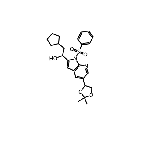 CC1(C)OCC(c2cnc3c(c2)cc(C(O)CC2CCCC2)n3S(=O)(=O)c2ccccc2)O1